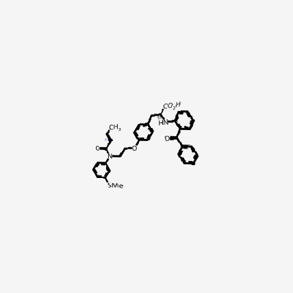 C/C=C/C(=O)N(CCOc1ccc(C[C@H](Nc2ccccc2C(=O)c2ccccc2)C(=O)O)cc1)c1cccc(SC)c1